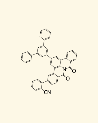 N#Cc1ccccc1-c1ccc2c(=O)n3c(=O)c4ccccc4c4cc(-c5cc(-c6ccccc6)cc(-c6ccccc6)c5)cc(c2c1)c43